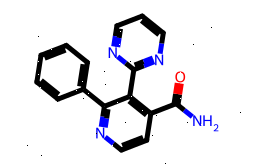 NC(=O)c1ccnc(-c2ccccc2)c1-c1ncccn1